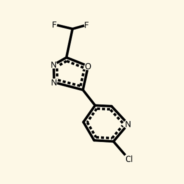 FC(F)c1nnc(-c2ccc(Cl)nc2)o1